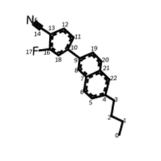 CCCCc1ccc2cc(-c3ccc(C#N)c(F)c3)ccc2c1